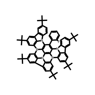 CC(C)(C)c1ccc2c(c1)c1cc(C(C)(C)C)cc3c1n2-c1c2c4c5c(c1-c1ccccc1F)-n1c6ccc(C(C)(C)C)cc6c6cc(C(C)(C)C)cc(c61)B5c1cc(C(C)(C)C)cc5c6cc(C(C)(C)C)cc(c6n-4c15)B23